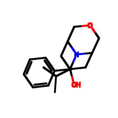 CC(C)C1(O)CC2COCC(C1)N2Cc1ccccc1